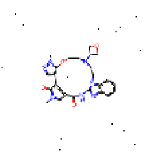 Cn1ncc2c1OCCN(C1COC1)CCn1c(nc3ccccc31)NC(=O)c1cc-2c(=O)n(C)c1